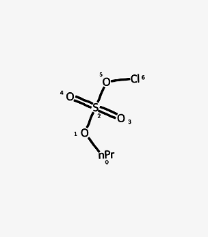 CCCOS(=O)(=O)OCl